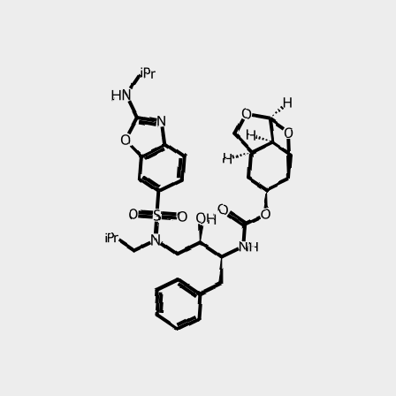 CC(C)CN(C[C@@H](O)[C@H](Cc1ccccc1)NC(=O)O[C@H]1C[C@H]2CO[C@H]3OC1C[C@@H]23)S(=O)(=O)c1ccc2nc(NC(C)C)oc2c1